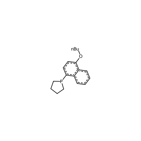 CCCCOc1ccc(P2CCCC2)c2ccccc12